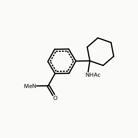 CNC(=O)c1cccc(C2(NC(C)=O)CCCCC2)c1